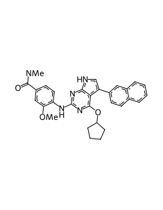 CNC(=O)c1ccc(Nc2nc(OC3CCCC3)c3c(-c4ccc5ccccc5c4)c[nH]c3n2)c(OC)c1